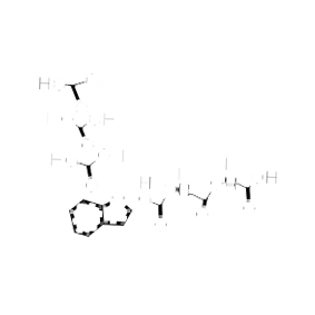 O=C(O)O.O=C(O)O.O=C(O)O.O=C(O)O.O=C(O)O.O=C(O)O.c1ccc2occc2c1